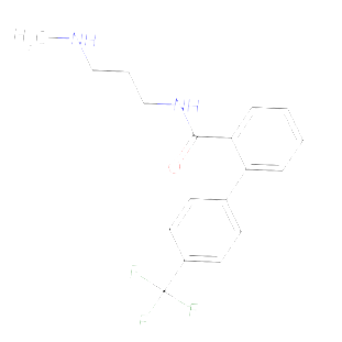 CNCCCNC(=O)c1ccccc1-c1ccc(C(F)(F)F)cc1